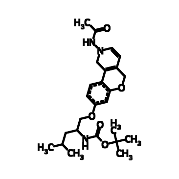 CC(=O)NN1C=CC2=C(C1)c1ccc(OCC(CC(C)C)NC(=O)OC(C)(C)C)cc1OC2